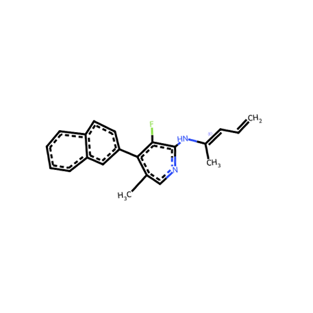 C=C/C=C(\C)Nc1ncc(C)c(-c2ccc3ccccc3c2)c1F